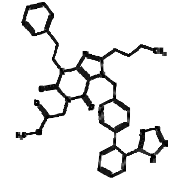 CCCCc1nc2c(c(=O)n(CC(=O)OC)c(=O)n2CCc2ccccc2)n1Cc1ccc(-c2ccccc2-c2nnn[nH]2)cc1